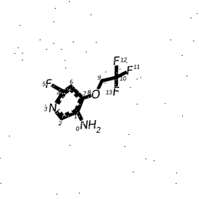 Nc1cnc(F)cc1OCC(F)(F)F